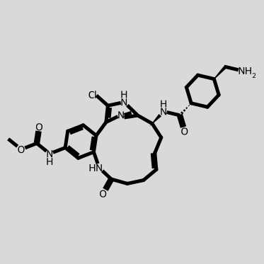 COC(=O)Nc1ccc2c(c1)NC(=O)CC/C=C/C[C@H](NC(=O)[C@H]1CC[C@H](CN)CC1)c1nc-2c(Cl)[nH]1